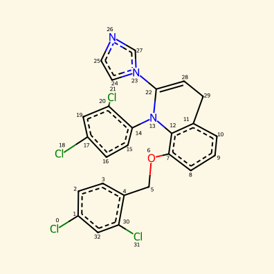 Clc1ccc(COc2cccc3c2N(c2ccc(Cl)cc2Cl)C(n2ccnc2)=CC3)c(Cl)c1